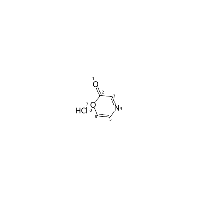 Cl.O=c1cncco1